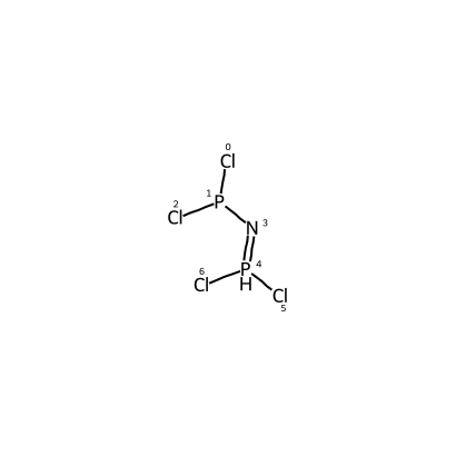 ClP(Cl)N=[PH](Cl)Cl